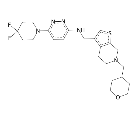 FC1(F)CCN(c2ccc(NCc3csc4c3CCN(CC3CCOCC3)C4)nn2)CC1